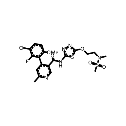 COc1ccc(Cl)c(F)c1-c1cc(C)ncc1C(=O)Nc1nnc(OCCN(C)S(C)(=O)=O)s1